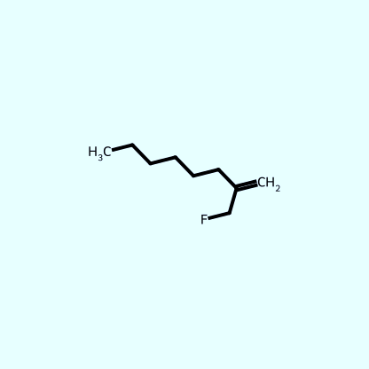 C=C(CF)CCCCCC